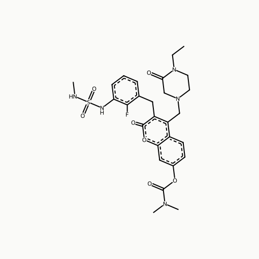 CCN1CCN(Cc2c(Cc3cccc(NS(=O)(=O)NC)c3F)c(=O)oc3cc(OC(=O)N(C)C)ccc23)CC1=O